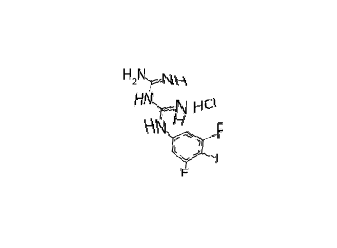 Cl.N=C(N)NC(=N)Nc1cc(F)c(I)c(F)c1